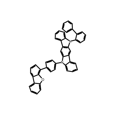 c1ccc(-c2ccccc2-n2c3ccccc3c3cc4c(cc32)c2ccccc2n4-c2ccc(-c3cccc4c3oc3ccccc34)cc2)cc1